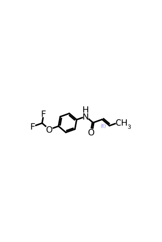 C/C=C/C(=O)Nc1ccc(OC(F)F)cc1